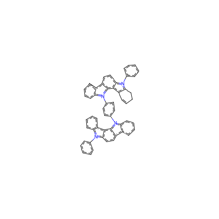 C1=Cc2c(n(-c3ccccc3)c3ccc4c5ccccc5n(-c5ccc(-n6c7ccccc7c7ccc8c(c9ccccc9n8-c8ccccc8)c76)cc5)c4c23)CC1